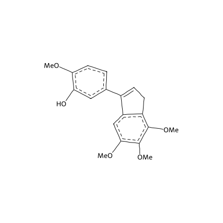 COc1ccc(C2=CCc3c2cc(OC)c(OC)c3OC)cc1O